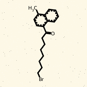 Cc1ccc(C(=O)CCCCCCCBr)c2ccccc12